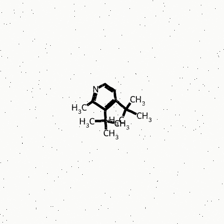 Cc1nccc(C(C)(C)C)c1C(C)(C)C